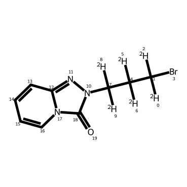 [2H]C([2H])(Br)C([2H])([2H])C([2H])([2H])n1nc2ccccn2c1=O